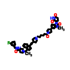 CC(c1ccc(C#CC2CCN(CCCCCC(=O)N3CCC(c4ccc5c(c4)n(C)c(=O)n5C4CCC(=O)NC4=O)CC3)CC2)c2ccccc12)N1CCC(C(=O)NCc2cccc(F)c2)CC1